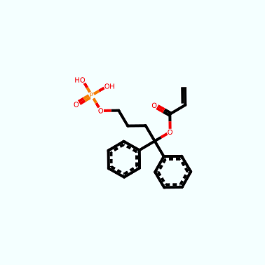 C=CC(=O)OC(CCCOP(=O)(O)O)(c1ccccc1)c1ccccc1